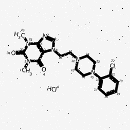 Cl.Cn1c(=O)c2c(ncn2CCN2CCN(c3ccccc3Cl)CC2)n(C)c1=O